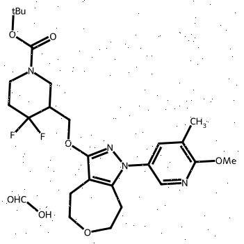 COc1ncc(-n2nc(OCC3CN(C(=O)OC(C)(C)C)CCC3(F)F)c3c2CCOCC3)cc1C.O=CO